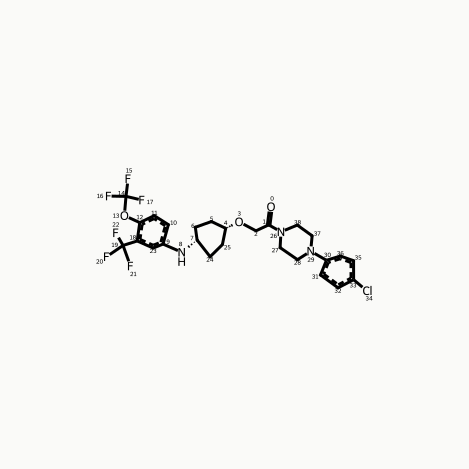 O=C(CO[C@H]1CC[C@@H](Nc2ccc(OC(F)(F)F)c(C(F)(F)F)c2)CC1)N1CCN(c2ccc(Cl)cc2)CC1